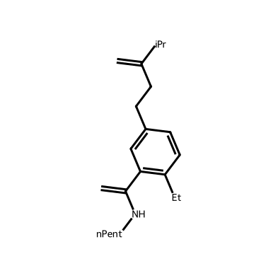 C=C(NCCCCC)c1cc(CCC(=C)C(C)C)ccc1CC